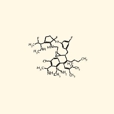 CCCC/C(=C(\C=C(\C)C(C)C)c1ccc(Cl)c(C(C)N)c1N(C)N)[C@H](Cc1cc(F)cc(F)c1)C1CN1CNC1=C(C(NC)C(C)F)CCC1(F)F